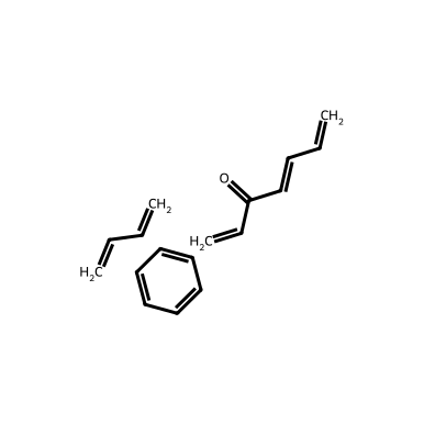 C=CC=C.C=CC=CC(=O)C=C.c1ccccc1